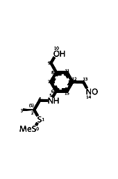 CSS[C@@H](C)CNc1cc(CO)cc(CN=O)c1